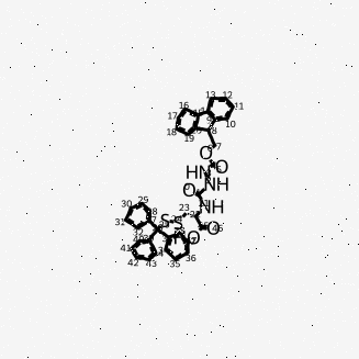 O=C(NNC(=O)OCC1c2ccccc2-c2ccccc21)N[C@@H](CSSC(c1ccccc1)(c1ccccc1)c1ccccc1)C(=O)O